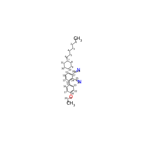 CCCCCCC[C@H]1CC[C@H](c2ccc(-c3ccc(OCC)cc3)c(C#N)c2C#N)CC1